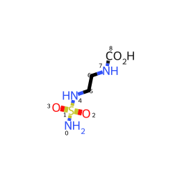 NS(=O)(=O)NCCNC(=O)O